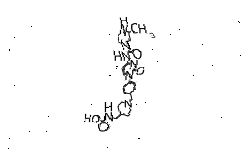 CC1CN(C(=O)Nc2ccn(-c3ccc(CN4CCC(CNC(=O)O)CC4)cc3)c(=O)n2)CCN1